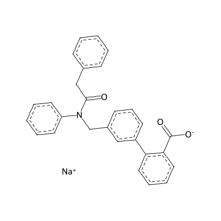 O=C([O-])c1ccccc1-c1cccc(CN(C(=O)Cc2ccccc2)c2ccccc2)c1.[Na+]